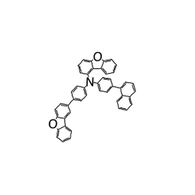 c1ccc2c(-c3ccc(N(c4ccc(-c5ccc6oc7ccccc7c6c5)cc4)c4cccc5oc6ccccc6c45)cc3)cccc2c1